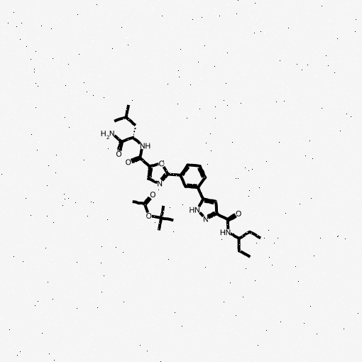 CC(=O)OC(C)(C)C.CCC(CC)NC(=O)c1cc(-c2cccc(-c3ncc(C(=O)N[C@@H](CC(C)C)C(N)=O)o3)c2)[nH]n1